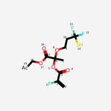 C=C(F)C(=O)OC(C)(OCCC(F)(F)S)C(=O)OCC(C)=O